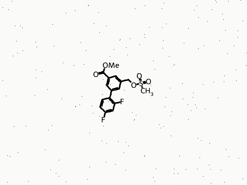 COC(=O)c1cc(COS(C)(=O)=O)cc(-c2ccc(F)cc2F)c1